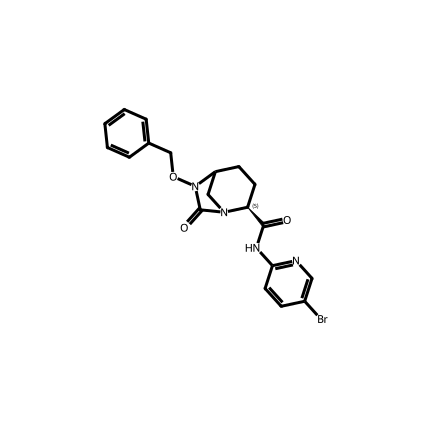 O=C(Nc1ccc(Br)cn1)[C@@H]1CCC2CN1C(=O)N2OCc1ccccc1